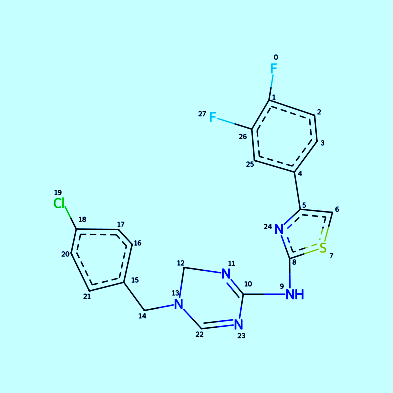 Fc1ccc(-c2csc(NC3=NCN(Cc4ccc(Cl)cc4)C=N3)n2)cc1F